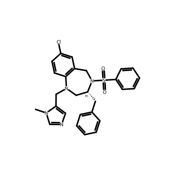 Cn1cncc1CN1C[C@@H](Cc2ccccc2)N(S(=O)(=O)c2ccccc2)Cc2cc(Cl)ccc21